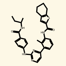 CCC(C)NC(=O)c1ccc(Nc2nccc(-c3cccc(NC(=O)c4cc5c(s4)CCCC5)c3C)n2)cc1